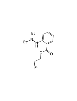 CCN(CC)Nc1ccccc1C(=O)OCCC(C)C